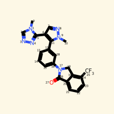 Cn1cnnc1-c1cnn(C)c1-c1cccc(N2Cc3c(cccc3C(F)(F)F)C2=O)c1